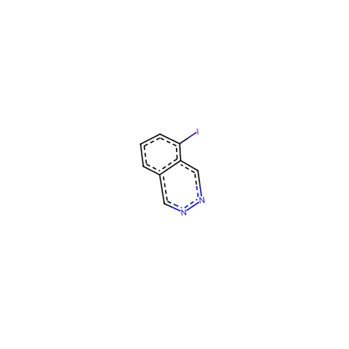 Ic1cccc2cnncc12